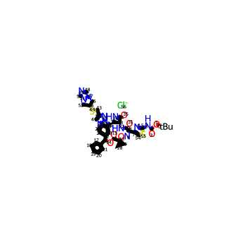 CC(C)(C)OC(=O)Nc1nc(C(=NOC2(C(=O)OC(c3ccccc3)c3ccccc3)CC2)C(=O)N[C@@H]2C(=O)N[C@@H]2Cn2ncc(CSC3Cn4cnc[n+]4C3)n2)cs1.[Cl-]